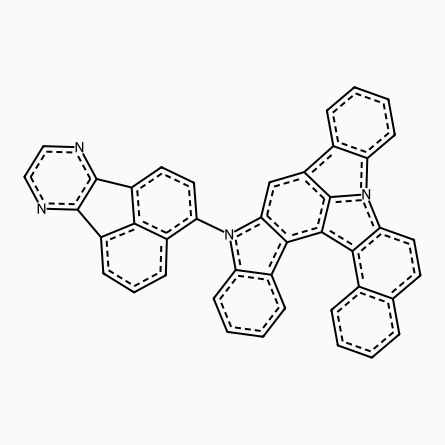 c1ccc2c(c1)ccc1c2c2c3c4ccccc4n(-c4ccc5c6c(cccc46)-c4nccnc4-5)c3cc3c4ccccc4n1c32